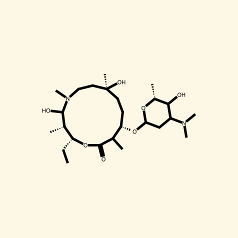 CC[C@H]1OC(=O)C(C)[C@@H](OC2CC(N(C)C)C(O)[C@@H](C)O2)CC[C@](C)(O)CCN(C)C(O)[C@H]1C